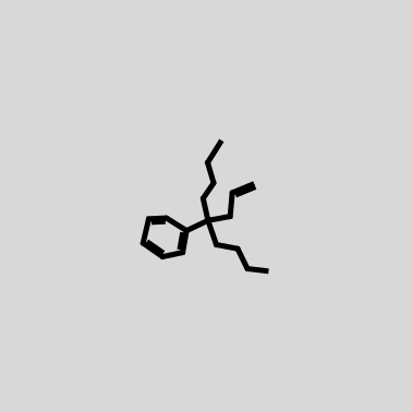 C=CCC(CCCC)(CCCC)c1ccccc1